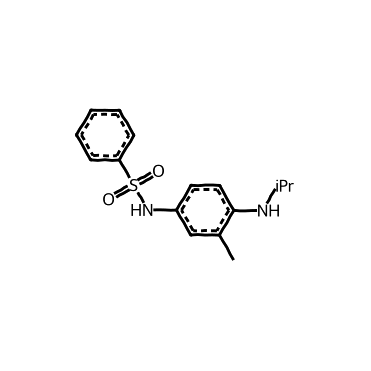 Cc1cc(NS(=O)(=O)c2ccccc2)ccc1NC(C)C